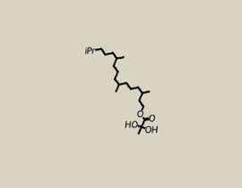 CC(C)CCCC(C)CCCC(C)CCCC(C)CCOC(=O)C(C)(O)O